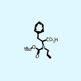 C=CCN(C(=O)OC(C)(C)C)C(Cc1ccccc1)C(=O)O